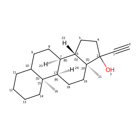 C#CC1(O)CC[C@H]2[C@@H]3CCC4CCCC[C@]4(C)[C@@H]3CC[C@@]21C